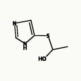 CC(O)Sc1cnc[nH]1